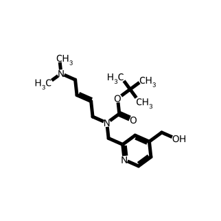 CN(C)CC=CCN(Cc1cc(CO)ccn1)C(=O)OC(C)(C)C